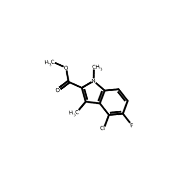 COC(=O)c1c(C)c2c(Cl)c(F)ccc2n1C